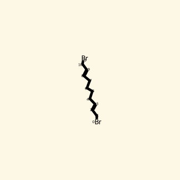 BrC/C=C/CCCC/C=C/CBr